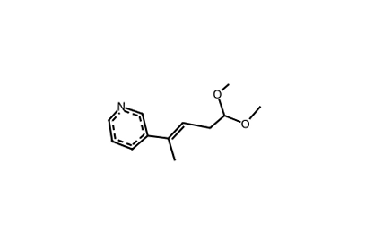 COC(CC=C(C)c1cccnc1)OC